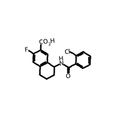 O=C(O)c1cc2c(cc1F)CCCC2NC(=O)c1ccccc1Cl